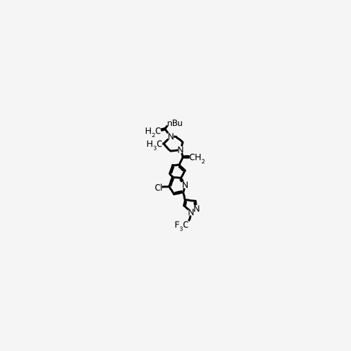 C=C(c1ccc2c(Cl)cc(-c3cnn(CC(F)(F)F)c3)nc2c1)N1CCN(C(=C)CCCC)C(C)C1